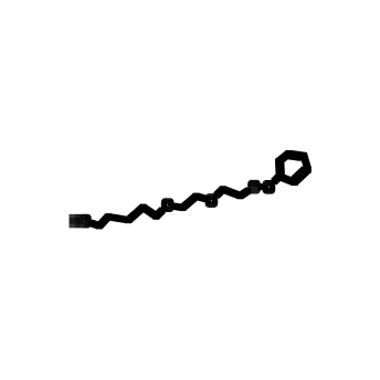 OCCCCCOCCOCCOOc1ccccc1